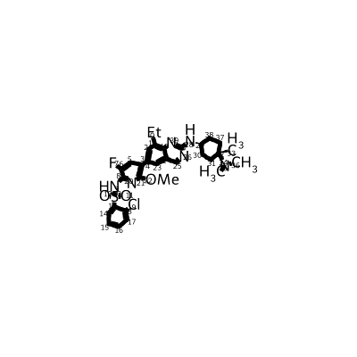 CCc1cc(-c2cc(F)c(NS(=O)(=O)c3ccccc3Cl)nc2OC)cc2cnc(N[C@H]3CC[C@@](C)(N(C)C)CC3)nc12